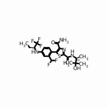 CC[C@H](Nc1ccc(-c2sc(C(=O)N[C@@H](C)C(C)(C)O)nc2C(N)=O)c(C(F)F)c1)C(F)(F)F